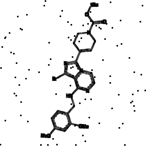 COc1ccc(CNc2nccn3c(C4=CCN(C(=O)OC(C)(C)C)CC4)nc(Br)c23)c(OC)c1